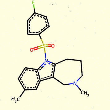 Cc1ccc2c(c1)c1c(n2S(=O)(=O)c2ccc(F)cc2)CCCN(C)C1